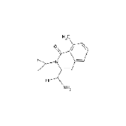 CCC(N)c1cc2cccc(C)c2c(=O)n1C1CC1